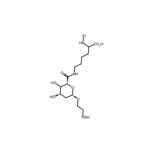 CCCCCCCCCCCCO[C@H]1C[C@@H](O)C(O)[C@@H](C(=O)NCCCCC(NCC)C(=O)O)O1